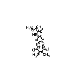 CON(C)C(=S)Nc1ccc(Oc2nc(Cl)c(C)c(C)c2Cl)c(F)c1